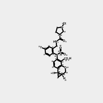 CCN1CC[C@H](C(=O)NCc2cc(F)ccc2N(c2ccc3c(c2C(=O)O)OC[C@@H]2C[C@H]32)[SH](=O)=O)C1